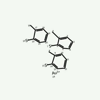 Cc1ccccc1[S-].Cc1ccccc1[S-].Cc1ccccc1[S-].[Au+3]